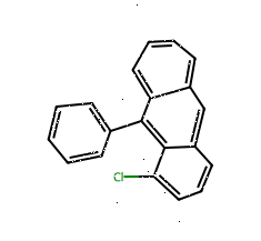 Clc1cccc2cc3ccccc3c(-c3ccccc3)c12